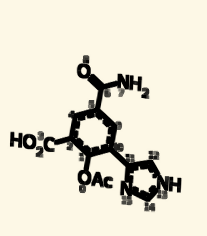 CC(=O)Oc1c(C(=O)O)cc(C(N)=O)cc1-c1c[nH]cn1